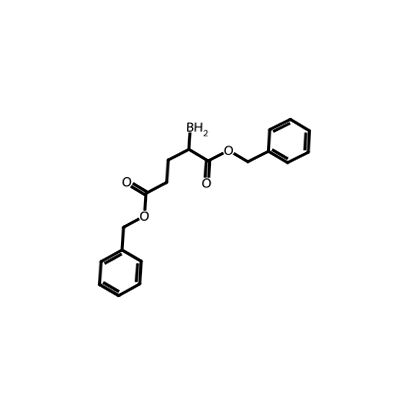 BC(CCC(=O)OCc1ccccc1)C(=O)OCc1ccccc1